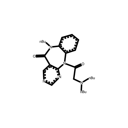 CCCCN(CCCC)CC(=O)N1c2ccccc2N(CCCC)C(=O)c2cncnc21